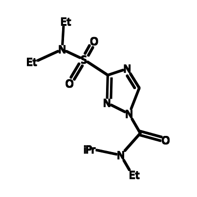 CCN(C(=O)n1cnc(S(=O)(=O)N(CC)CC)n1)C(C)C